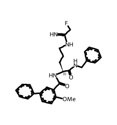 COc1ccc(-c2ccccc2)cc1C(=O)N[C@@H](CCCNC(=N)CF)C(=O)NCc1ccccc1